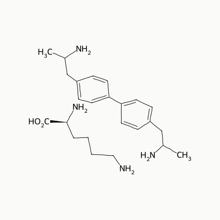 CC(N)Cc1ccc(-c2ccc(CC(C)N)cc2)cc1.NCCCC[C@H](N)C(=O)O